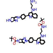 CC(C)(C)OC(=O)NCCCNc1cc(-c2ccc(-n3cc4c(n3)CN(C(=O)OC(C)(C)C)C4)cc2)nc2ccccc12.NCCCNc1cc(-c2ccc(-n3cc4c(n3)CNC4)cc2)nc2ccccc12